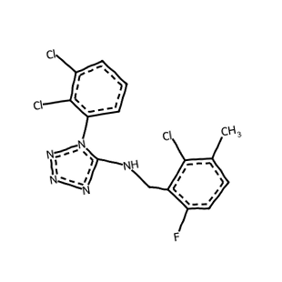 Cc1ccc(F)c(CNc2nnnn2-c2cccc(Cl)c2Cl)c1Cl